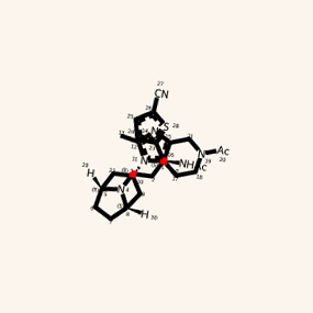 CC(=O)N[C@@H](CCN1[C@@H]2CC[C@H]1C[C@@H](n1c(C)nc3c1CCN(C(C)=O)C3)C2)c1ccc(C#N)s1